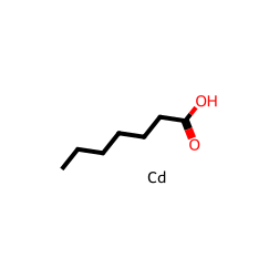 CCCCCCC(=O)O.[Cd]